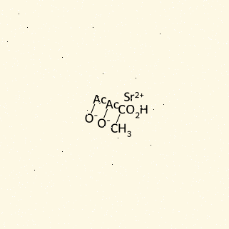 CC(=O)O.CC(=O)[O-].CC(=O)[O-].[Sr+2]